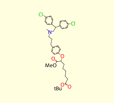 COC(=O)C(CCCCCC(=O)OC(C)(C)C)Oc1ccc(CCCN(C)CC(c2ccc(Cl)cc2)c2ccc(Cl)cc2)cc1